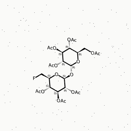 CC(=O)OC[C@H]1O[C@H](O[C@@H]2O[C@H](CF)[C@@H](OC(C)=O)[C@H](OC(C)=O)[C@H]2OC(C)=O)[C@H](OC(C)=O)[C@@H](OC(C)=O)[C@@H]1OC(C)=O